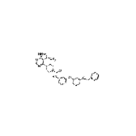 Cc1c[nH]c2ncnc(C3=CCN(C(=O)Nc4cccc(Oc5cccc(OCc6ccccc6)c5)c4)CC3)c12